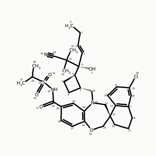 CC/C=C/[C@@](O)([C@@H]1CC[C@H]1CN1C[C@@]2(CCCc3cc(Cl)ccc32)COc2ccc(C(=O)NS(=O)(=O)C(C)C)cc21)C(C)(C)C#N